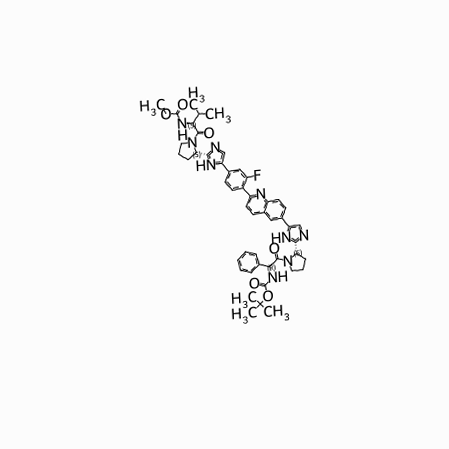 COC(=O)N[C@H](C(=O)N1CCC[C@H]1c1ncc(-c2ccc(-c3ccc4cc(-c5cnc([C@@H]6CCCN6C(=O)[C@H](NC(=O)OC(C)(C)C)c6ccccc6)[nH]5)ccc4n3)c(F)c2)[nH]1)C(C)C